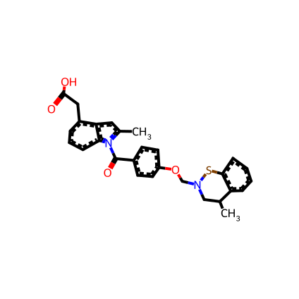 Cc1cc2c(CC(=O)O)cccc2n1C(=O)c1ccc(OCN2CC(C)c3ccccc3S2)cc1